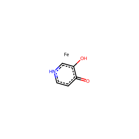 O=c1cc[nH]cc1O.[Fe]